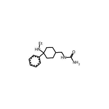 CCNC1(c2ccccc2)CCC(CNC(N)=O)CC1